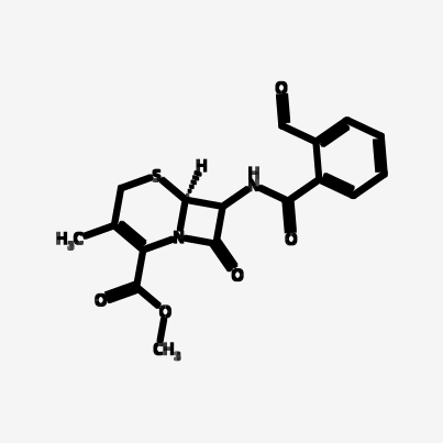 COC(=O)C1=C(C)CS[C@H]2C(NC(=O)c3ccccc3C=O)C(=O)N12